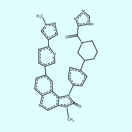 Cn1cc(-c2ccc(-c3ccc4ncc5c(c4c3)n(-c3ccc(C4CCCN(C(=O)c6nnc[nH]6)C4)cc3)c(=O)n5C)cn2)cn1